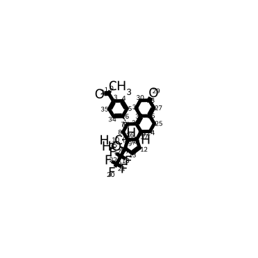 CC(=O)c1ccc([C@H]2C[C@@]3(C)[C@@H](C=C[C@@]3(O)C(F)(F)C(F)(F)F)[C@@H]3CCC4=CC(=O)CCC4=C32)cc1